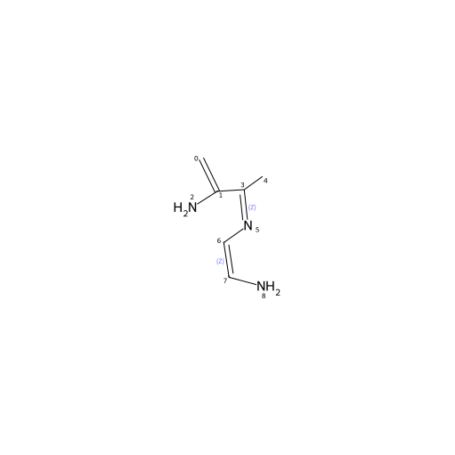 C=C(N)/C(C)=N\C=C/N